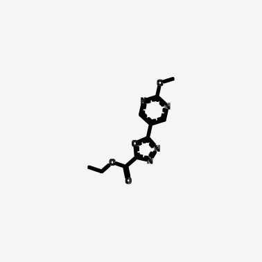 CCOC(=O)c1nnc(-c2cnc(OC)nc2)o1